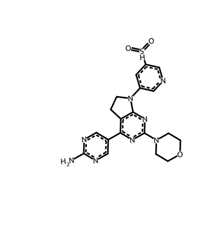 Nc1ncc(-c2nc(N3CCOCC3)nc3c2CCN3c2cncc([SH](=O)=O)c2)cn1